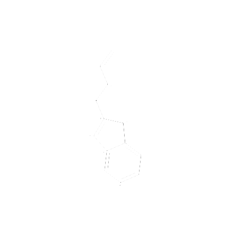 C=CCCC1=Cc2ccccc2[CH]1